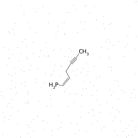 CC#CC/C=C\P